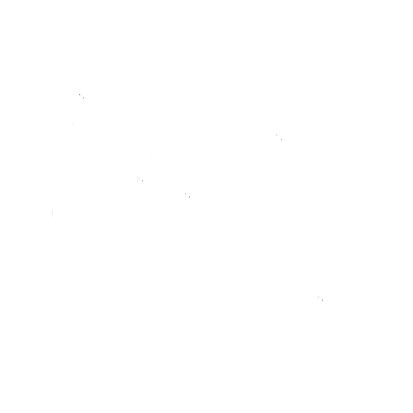 CNCc1ccc(-c2c3c4c(cc(F)cc4n2C(CC(C)C)NC(O)OCCSSc2ccccn2)C(=O)NCC3)cc1